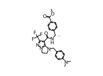 COC(=O)c1ccc([C@H](C)NC(=O)c2c(C(F)(F)F)nn3c2N(Cc2ccc(N(C)C)cc2)CC3)cc1